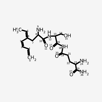 C=C/C=C\C(=C/C)CC(N)C(=O)NC(CO)C(=O)BC(=O)CCC(N)C(N)=O